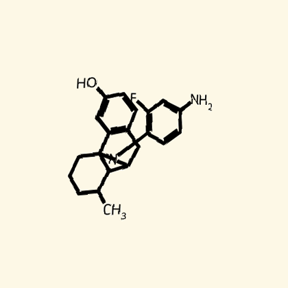 CC1CCCC23CN(c4ccc(N)cc4F)C(Cc4ccc(O)cc42)C13